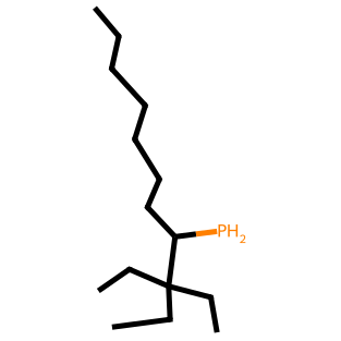 CCCCCCCC(P)C(CC)(CC)CC